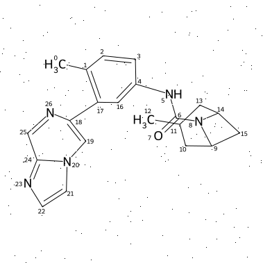 Cc1ccc(NC(=O)N2C3CC(C)CC2C3)cc1-c1cn2ccnc2cn1